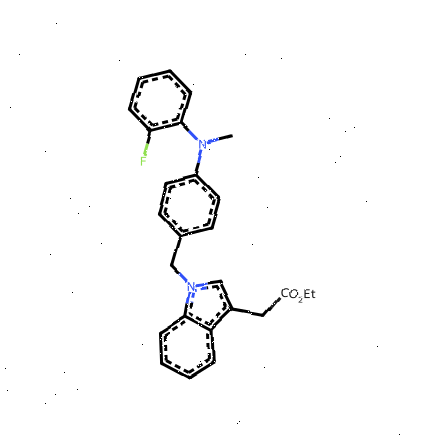 CCOC(=O)Cc1cn(Cc2ccc(N(C)c3ccccc3F)cc2)c2ccccc12